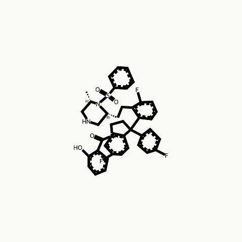 C[C@H]1CNC[C@@H](CCc2c(F)cccc2C(CCNC(=O)c2ccccc2O)(c2ccc(F)cc2)c2ccc(F)cc2)N1S(=O)(=O)c1ccccc1